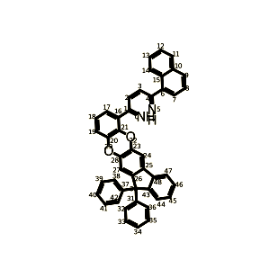 N=C(/C=C\C(=N)c1cccc2ccccc12)c1cccc2c1Oc1cc3c(cc1O2)C(c1ccccc1)(c1ccccc1)c1ccccc1-3